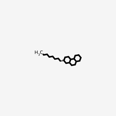 CCCCCCCC[C@H]1CCC2C(CCC3CCCCC32)C1